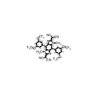 Cn1c(=C(C#N)C#N)nc2c(-c3cc(OC(F)(F)F)cc(OC(F)(F)F)c3)c3c(nc(=C(C#N)C#N)n3C)c(-c3cc(OC(F)(F)F)cc(OC(F)(F)F)c3)c21